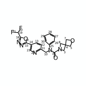 O=C(N1CC2(COC2)C1)N(Cc1ccc(-c2nnc(C(F)F)o2)cn1)c1ccccc1